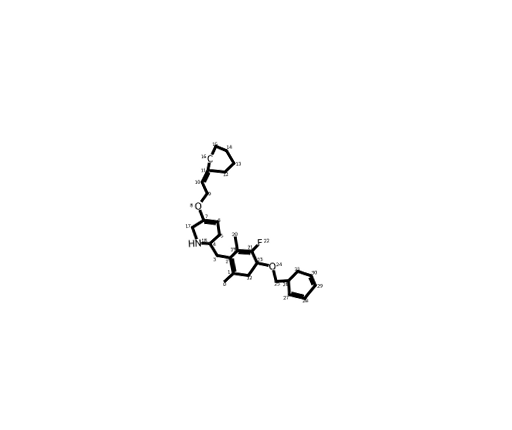 CC1=C(CC2CC=C(OCC=C3CCCCC3)CN2)C(C)=C(F)C(OCC2C=CC=CC2)C1